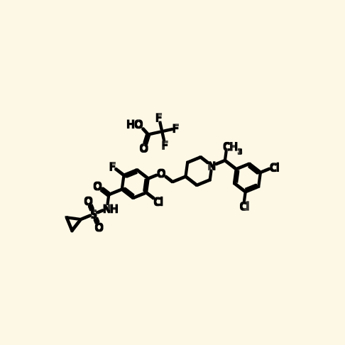 CC(c1cc(Cl)cc(Cl)c1)N1CCC(COc2cc(F)c(C(=O)NS(=O)(=O)C3CC3)cc2Cl)CC1.O=C(O)C(F)(F)F